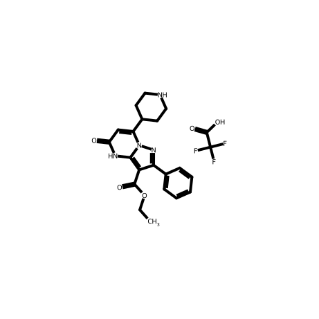 CCOC(=O)c1c(-c2ccccc2)nn2c(C3CCNCC3)cc(=O)[nH]c12.O=C(O)C(F)(F)F